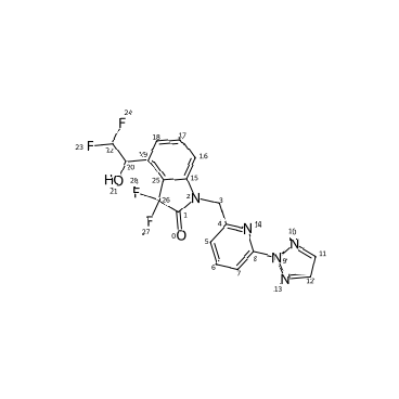 O=C1N(Cc2cccc(-n3nccn3)n2)c2cccc(C(O)C(F)F)c2C1(F)F